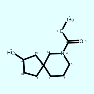 CC(C)(C)OC(=O)N1CCCC2(CCC(O)C2)C1